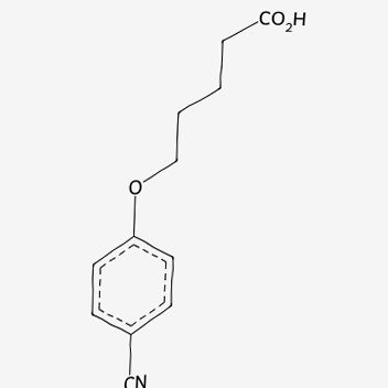 N#Cc1ccc(OCCCCC(=O)O)cc1